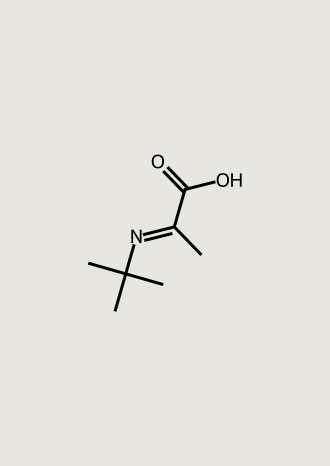 C/C(=N\C(C)(C)C)C(=O)O